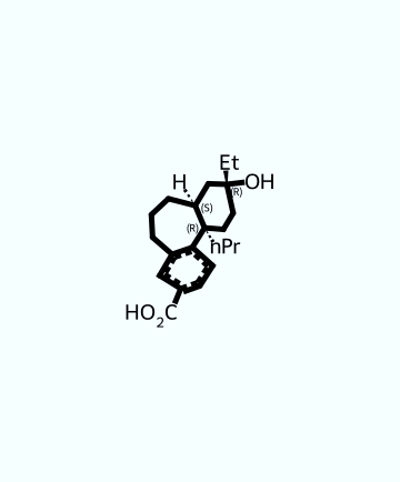 CCC[C@@]12CC[C@](O)(CC)C[C@@H]1CCCc1cc(C(=O)O)ccc12